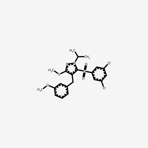 COc1cccc(Cc2c(OC)nn(C(C)C)c2S(=O)(=O)c2cc(Cl)cc(Cl)c2)c1